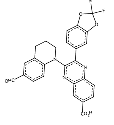 O=Cc1ccc2c(c1)CCCN2c1nc2cc(C(=O)O)ccc2nc1-c1ccc2c(c1)OC(F)(F)O2